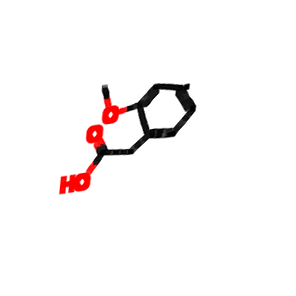 COc1c[c]ccc1CC(=O)O